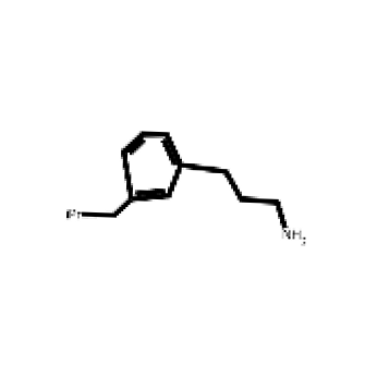 CC(C)Cc1cccc(CCCN)c1